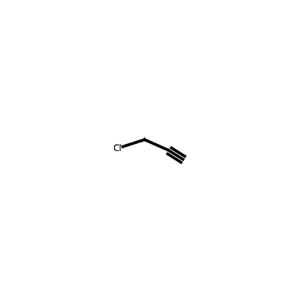 C#C[CH]Cl